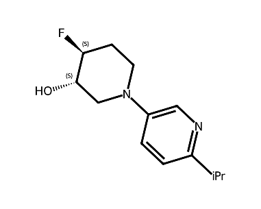 CC(C)c1ccc(N2CC[C@H](F)[C@@H](O)C2)cn1